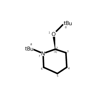 CC(C)(C)O[C@H]1CCCCN1C(C)(C)C